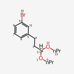 CCCO[SiH](CCc1cccc(Br)c1)OCCC